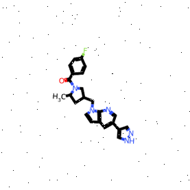 CC1CC(Cn2ccc3cc(-c4cn[nH]c4)cnc32)CN1C(=O)c1ccc(F)cc1